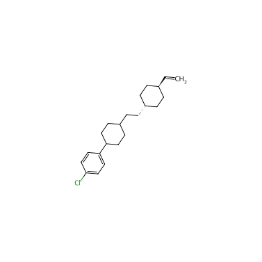 C=C[C@H]1CC[C@H](CCC2CCC(c3ccc(Cl)cc3)CC2)CC1